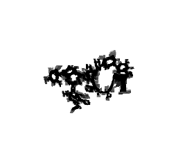 CCN1C[C@H]2C[C@@H](C1=O)N2c1nc(N2C[C@@H]3C[C@H]2C(=O)N(C)C[C@H](OC)Cn2c(C)nc4cc(F)cc(c42)-c2cccc(n2)N3)c2cnn(-c3ccc(F)cc3F)c2n1